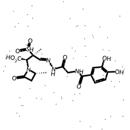 C[C@@H]1CC(=O)N1[C@@H](C(=O)O)[C@](C)(/C=N/NC(=O)CNC(=O)c1ccc(O)c(O)c1)[SH](=O)=O